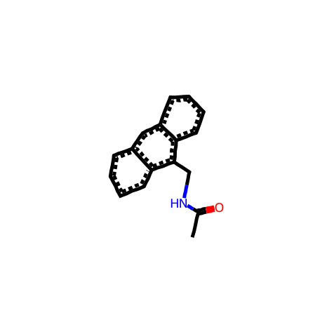 CC(=O)NCc1c2ccccc2cc2ccccc12